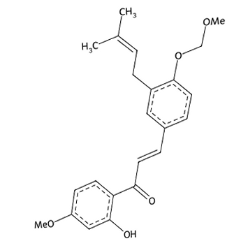 COCOc1ccc(/C=C/C(=O)c2ccc(OC)cc2O)cc1CC=C(C)C